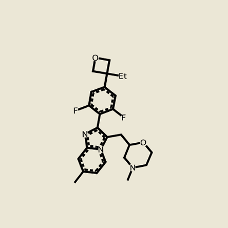 CCC1(c2cc(F)c(-c3nc4cc(C)ccn4c3CC3CN(C)CCO3)c(F)c2)COC1